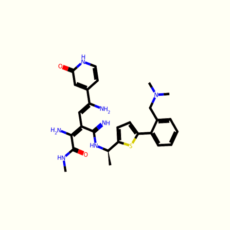 CNC(=O)/C(N)=C(/C=C(\N)c1cc[nH]c(=O)c1)C(=N)N[C@H](C)c1ccc(-c2ccccc2CN(C)C)s1